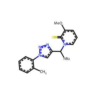 CCCCC(c1cn(-c2ccccc2C)nn1)n1cccc(OC)c1=S